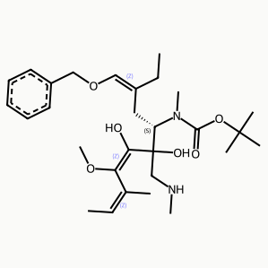 C/C=C(C)\C(OC)=C(\O)C(O)(CNC)[C@H](C/C(=C\OCc1ccccc1)CC)N(C)C(=O)OC(C)(C)C